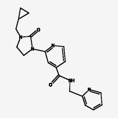 O=C(NCc1ccccn1)c1ccnc(N2CCN(CC3CC3)C2=O)c1